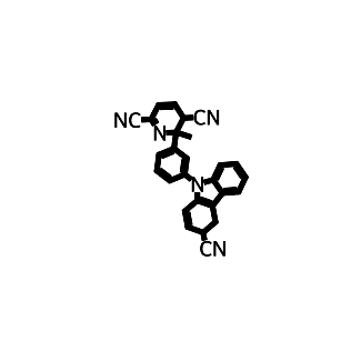 CC1(c2cccc(-n3c4c(c5ccccc53)CC(C#N)C=C4)c2)N=C(C#N)C=CC1C#N